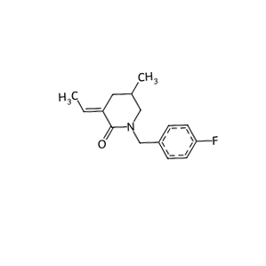 C/C=C1\CC(C)CN(Cc2ccc(F)cc2)C1=O